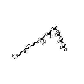 CC(=O)Cl.CC(=O)Cl.CC(=O)Cl.CC(=O)Cl.CC(=O)Cl.CC(=O)Cl.NCCNCCNCCN